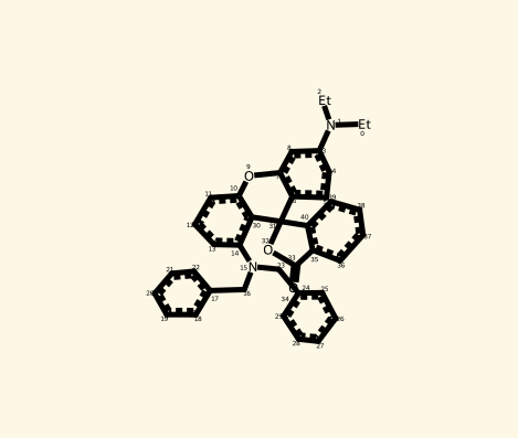 CCN(CC)c1ccc2c(c1)Oc1cccc(N(Cc3ccccc3)Cc3ccccc3)c1C21OC(=O)c2ccccc21